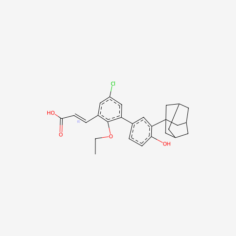 CCOc1c(/C=C/C(=O)O)cc(Cl)cc1-c1ccc(O)c(C23CC4CC(CC(C4)C2)C3)c1